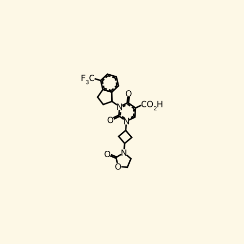 O=C(O)c1cn(C2CC(N3CCOC3=O)C2)c(=O)n(C2CCc3c2cccc3C(F)(F)F)c1=O